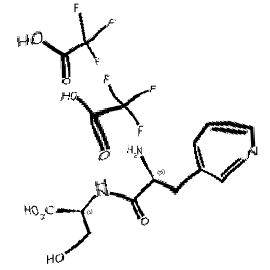 N[C@@H](Cc1cccnc1)C(=O)N[C@@H](CO)C(=O)O.O=C(O)C(F)(F)F.O=C(O)C(F)(F)F